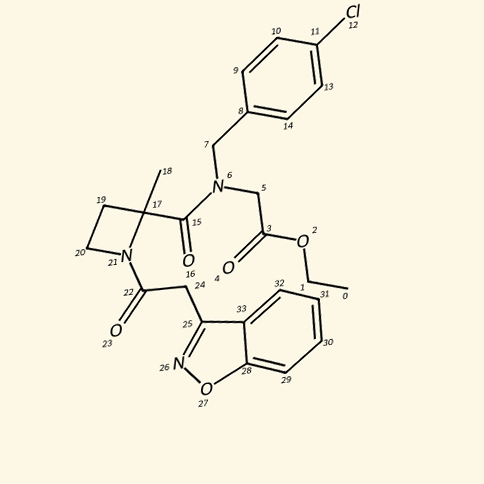 CCOC(=O)CN(Cc1ccc(Cl)cc1)C(=O)C1(C)CCN1C(=O)Cc1noc2ccccc12